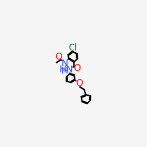 CC(=O)Nc1cc(Cl)ccc1C(=O)Nc1cccc(OCCc2ccccc2)c1